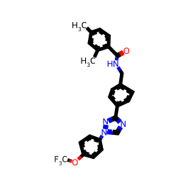 Cc1ccc(C(=O)NCc2ccc(-c3ncn(-c4ccc(OC(F)(F)F)cc4)n3)cc2)c(C)c1